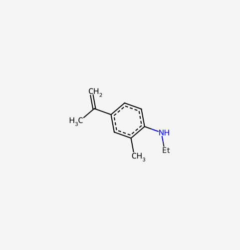 C=C(C)c1ccc(NCC)c(C)c1